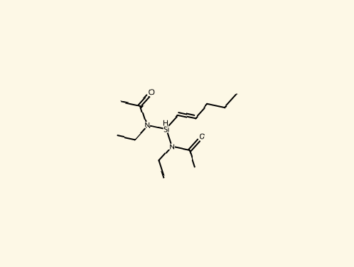 CCCC=C[SiH](N(CC)C(C)=O)N(CC)C(C)=O